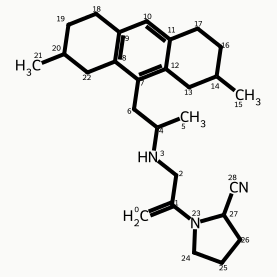 C=C(CNC(C)Cc1c2c(cc3c1CC(C)CC3)CCC(C)C2)N1CCCC1C#N